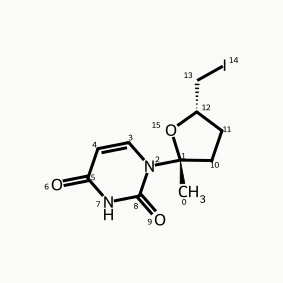 C[C@]1(n2ccc(=O)[nH]c2=O)CC[C@@H](CI)O1